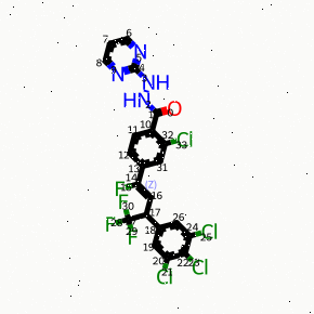 O=C(NNc1ncccn1)c1ccc(/C(F)=C/C(c2cc(Cl)c(Cl)c(Cl)c2)C(F)(F)F)cc1Cl